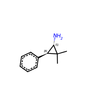 CC1(C)[C@@H](N)[C@@H]1c1ccccc1